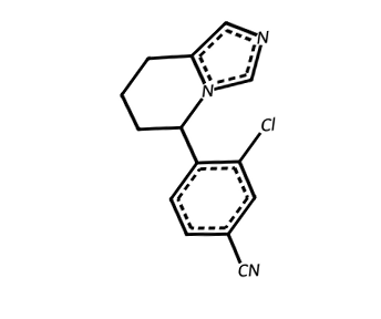 N#Cc1ccc(C2CCCc3cncn32)c(Cl)c1